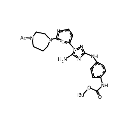 CCC(C)OC(=O)Nc1ccc(Nc2nc(N)n(-c3ccnc(N4CCCN(C(C)=O)CC4)c3)n2)cc1